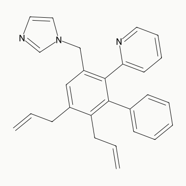 C=CCc1cc(Cn2ccnc2)c(-c2ccccn2)c(-c2ccccc2)c1CC=C